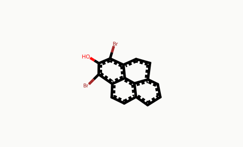 Oc1c(Br)c2ccc3cccc4ccc(c1Br)c2c34